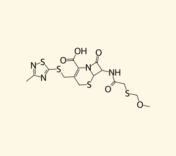 COCSCC(=O)NC1C(=O)N2C(C(=O)O)=C(CSc3nc(C)ns3)CSC12